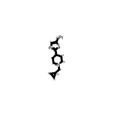 CC(C)c1cnc(C2CCN(CC3CC3)CC2)s1